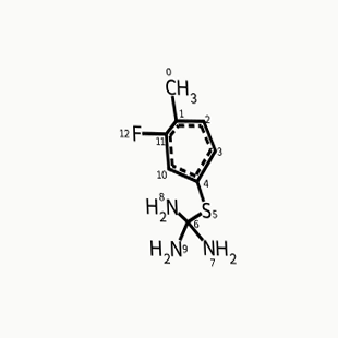 Cc1ccc(SC(N)(N)N)cc1F